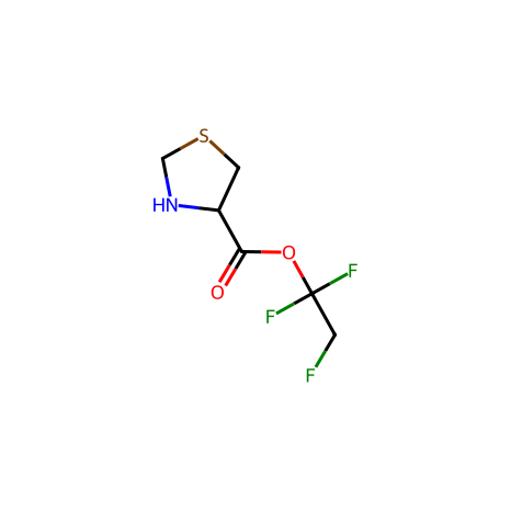 O=C(OC(F)(F)CF)C1CSCN1